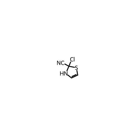 N#CC1(Cl)NC=CS1